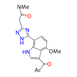 CNC(=O)Cc1n[nH]c(-c2ccc(OC)c3c(C(=O)C(C)=O)c[nH]c23)n1